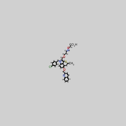 CC1Cc2c(OCc3ccc4ccccc4n3)ccc3c2c(c(COCCC=NOCC(=O)O)n3Cc2ccc(Cl)cc2)S1